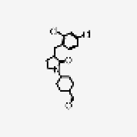 O=CC1CCC(N2CCC(Cc3ccc(Cl)cc3Cl)C2=O)CC1